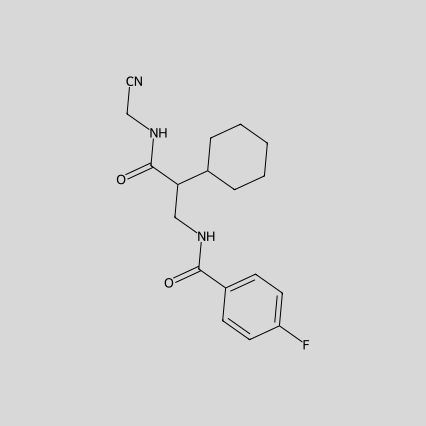 N#CCNC(=O)C(CNC(=O)c1ccc(F)cc1)C1CCCCC1